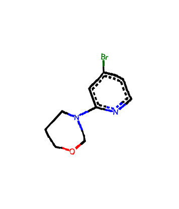 Brc1ccnc(N2CCCOC2)c1